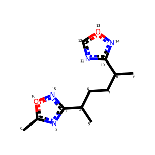 Cc1nc(C(C)CCC(C)c2ncon2)no1